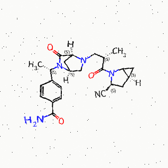 C[C@@H](CN1C[C@@H]2C[C@H]1C(=O)N2[C@@H](C)c1ccc(C(N)=O)cc1)C(=O)N1C2C[C@H]2C[C@H]1C#N